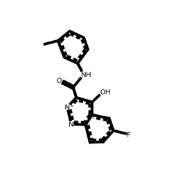 Cc1cccc(NC(=O)c2nnc3ccc(F)cc3c2O)c1